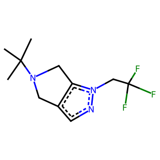 CC(C)(C)N1Cc2cnn(CC(F)(F)F)c2C1